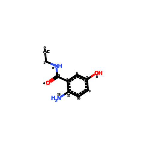 CC(=O)CNC(=O)c1cc(O)ccc1N